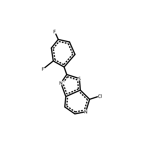 Fc1ccc(-c2nc3ccnc(Cl)c3s2)c(F)c1